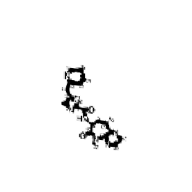 C[C@H]1C[C@H](NC(=O)c2ncc(Cc3ccccn3)o2)C(=O)N(C)c2nccnc21